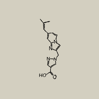 CC(C)=Cc1ccn2cc(Cn3cc(C(=O)O)cn3)nc2c1